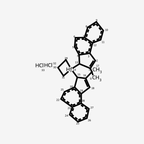 CC1=Cc2c(ccc3ccccc23)[CH]1[Hf]1([CH]2C(C)=Cc3c2ccc2ccccc32)[CH2]C[CH2]1.Cl.Cl